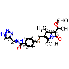 C[C@H](OC=O)C1C(=O)N2C(C(=O)O)=C(CSc3ccc(C(=O)NCc4c[nH]nn4)cc3)[C@H](C)C12